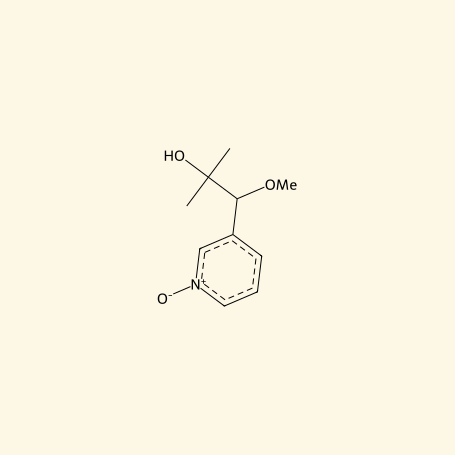 COC(c1ccc[n+]([O-])c1)C(C)(C)O